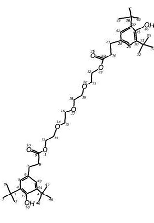 CC(C)(C)c1cc(CCC(=O)OCCOCCOCCOCCOC(=O)CCc2cc(C(C)(C)C)c(O)c(C(C)(C)C)c2)cc(C(C)(C)C)c1O